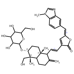 C=C1CCC2[C@](C)(CC[C@@H](OC3OC(CO)C(O)C(O)C3O)[C@@]2(C)CO)C1/C=C/C1=CC(=C\c2ccc3c(c2)ncn3C)/OC1=O